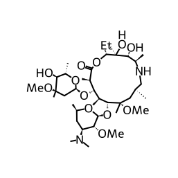 CC[C@H]1OC(=O)[C@H](C)[C@@H](O[C@H]2C[C@@](C)(OC)[C@@H](O)[C@H](C)O2)[C@H](C)[C@@H](O[C@@H]2O[C@H](C)C[C@H](N(C)C)[C@H]2OC)[C@@](C)(OC)C[C@@H](C)CN[C@H](C)[C@@H](O)[C@]1(C)O